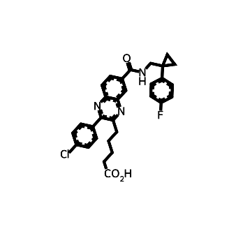 O=C(O)CCCCc1nc2cc(C(=O)NCC3(c4ccc(F)cc4)CC3)ccc2nc1-c1ccc(Cl)cc1